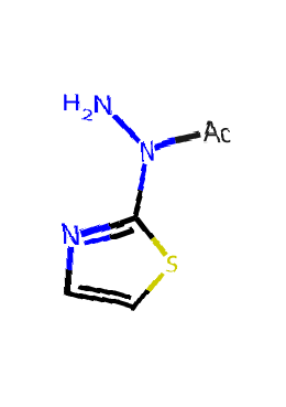 CC(=O)N(N)c1nccs1